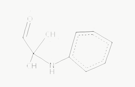 CC(C)(C=O)Nc1ccccc1